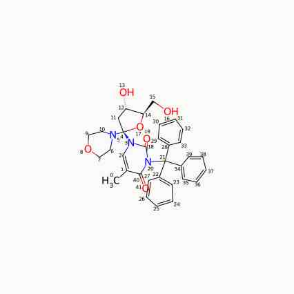 Cc1cn([C@@]2(N3CCOCC3)C[C@H](O)[C@@H](CO)O2)c(=O)n(C(c2ccccc2)(c2ccccc2)c2ccccc2)c1=O